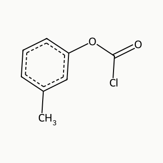 Cc1cccc(OC(=O)Cl)c1